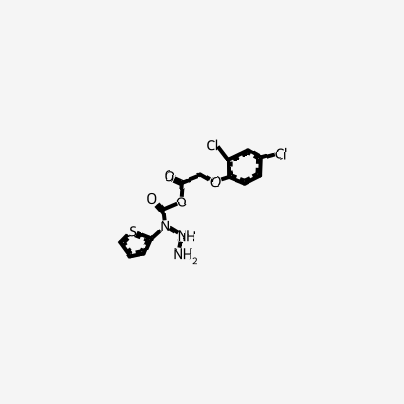 NNN(C(=O)OC(=O)COc1ccc(Cl)cc1Cl)c1cccs1